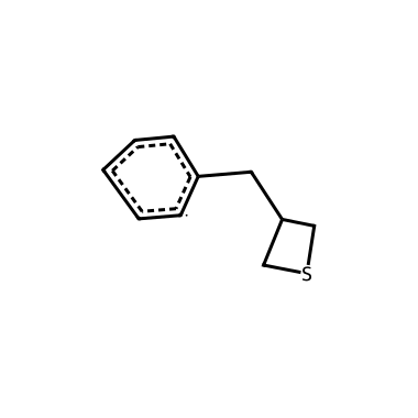 [c]1ccccc1CC1CSC1